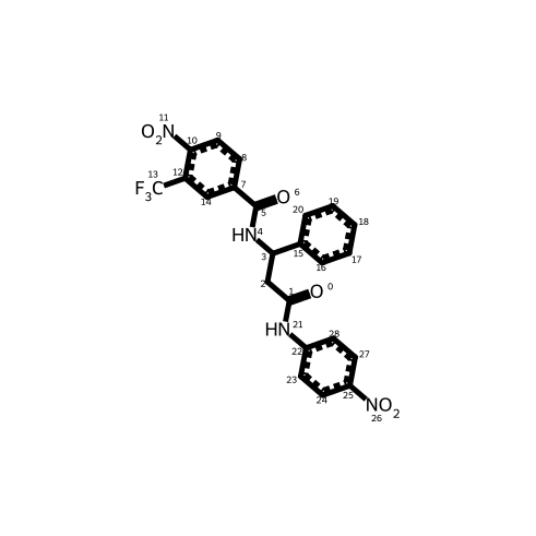 O=C(CC(NC(=O)c1ccc([N+](=O)[O-])c(C(F)(F)F)c1)c1ccccc1)Nc1ccc([N+](=O)[O-])cc1